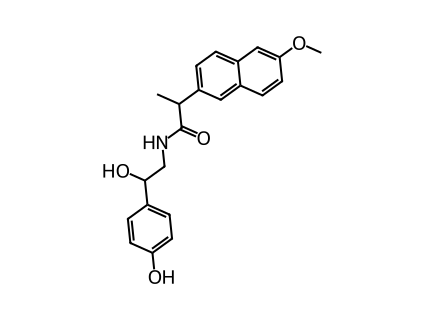 COc1ccc2cc(C(C)C(=O)NCC(O)c3ccc(O)cc3)ccc2c1